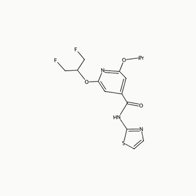 CC(C)Oc1cc(C(=O)Nc2nccs2)cc(OC(CF)CF)n1